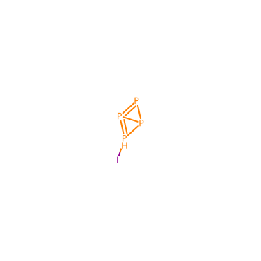 I[PH]1=P2=PP21